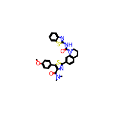 COc1ccc(-c2sc(-c3ccc4c(c3)N(C(=O)Nc3nc5ccccc5s3)CCC4)nc2C(=O)N(C)C)cc1